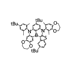 Cc1cc(C(C)(C)C)cc(C)c1N1c2cc3c(cc2B2c4c1cc(C(C)(C)C)cc4N(c1c(C)cc4c(c1C)OCCCO4)c1sc4ccc(C(C)(C)C)cc4c12)OCCCO3